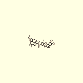 CCOc1cc(C)c(-n2c(C(F)(F)F)ccc(C(=O)Nc3ccc(Oc4c(F)cnc5cc(OC)c(OC)cc45)c(F)c3)c2=O)cn1